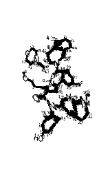 COCCc1c(C(=O)N(c2ccc(O)cc2)c2cnc3c(c2)CCN3C)cc(-c2cc(F)ccc2C(=O)N2Cc3ccccc3C[C@H]2CN2CCOCC2)n1C